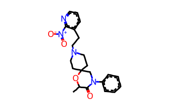 CC1OC2(CCN(CCc3cccnc3[N+](=O)[O-])CC2)CN(c2ccccc2)C1=O